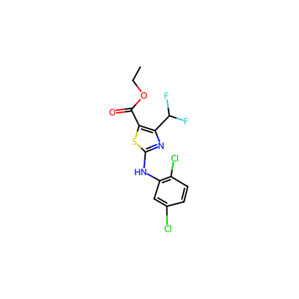 CCOC(=O)c1sc(Nc2cc(Cl)ccc2Cl)nc1C(F)F